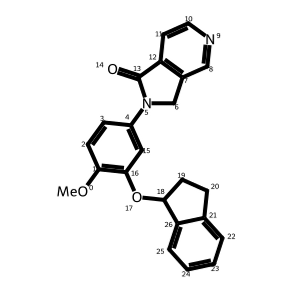 COc1ccc(N2Cc3cnccc3C2=O)cc1OC1CCc2ccccc21